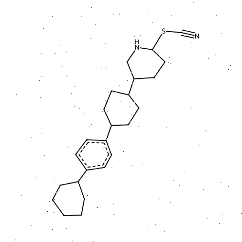 N#CSC1CCC(C2CCC(c3ccc(C4CCCCC4)cc3)CC2)CN1